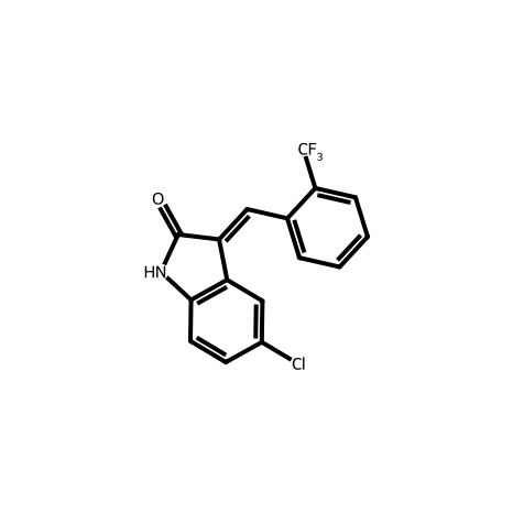 O=C1Nc2ccc(Cl)cc2C1=Cc1ccccc1C(F)(F)F